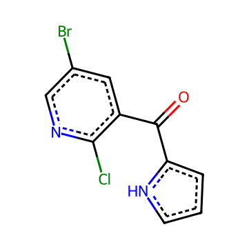 O=C(c1ccc[nH]1)c1cc(Br)cnc1Cl